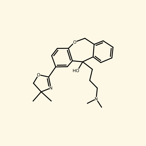 CN(C)CCCC1(O)c2ccccc2COc2ccc(C3=NC(C)(C)CO3)cc21